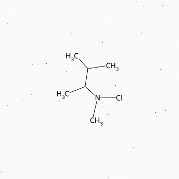 CC(C)C(C)N(C)Cl